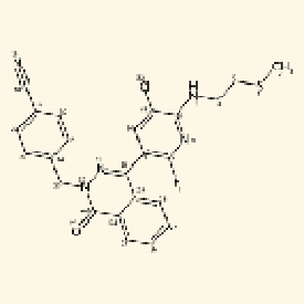 CSCCNc1nc(F)c(-c2nn(Cc3ccc(C#N)cc3)c(=O)c3ccccc23)cc1Cl